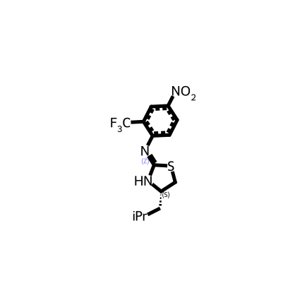 CC(C)C[C@H]1CS/C(=N\c2ccc([N+](=O)[O-])cc2C(F)(F)F)N1